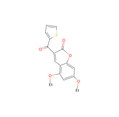 CCOc1cc(OCC)c2cc(C(=O)c3cccs3)c(=O)oc2c1